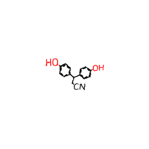 N#CCC(c1ccc(O)cc1)c1ccc(O)cc1